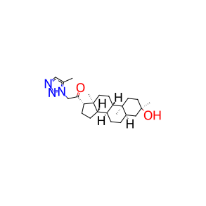 Cc1cnnn1CC(=O)[C@H]1CC[C@H]2[C@@H]3CC[C@@H]4C[C@](C)(O)CC[C@]4(C)[C@H]3CC[C@]12C